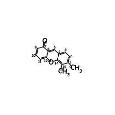 Cc1ccc2cc3c(=O)cccc-3oc2c1C